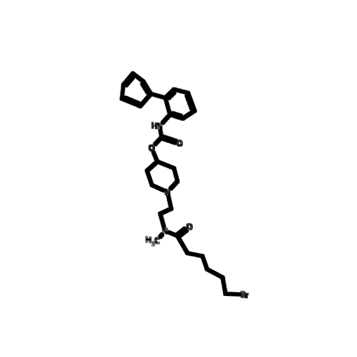 CN(CCN1CCC(OC(=O)Nc2ccccc2-c2ccccc2)CC1)C(=O)CCCCCBr